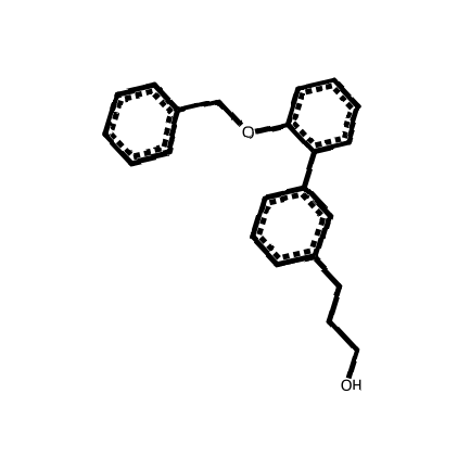 OCCCc1cccc(-c2ccccc2OCc2ccccc2)c1